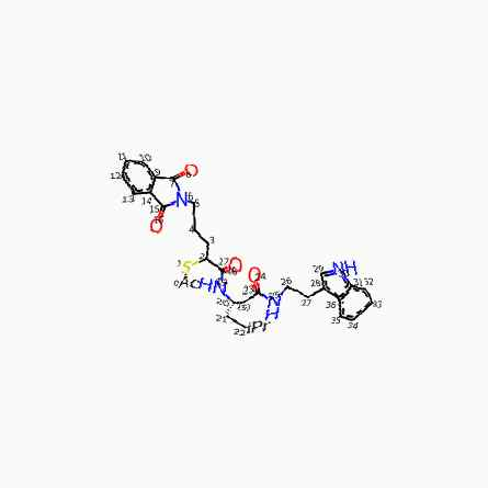 CC(=O)SC(CCCN1C(=O)c2ccccc2C1=O)C(=O)N[C@@H](CC(C)C)C(=O)NCCc1c[nH]c2ccccc12